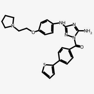 Nc1nc(Nc2ccc(OCCN3CCCC3)cc2)nn1C(=O)c1ccc(-c2cccs2)cc1